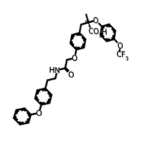 C[C@@](Cc1ccc(OCC(=O)NCCc2ccc(Oc3ccccc3)cc2)cc1)(Oc1ccc(OC(F)(F)F)cc1)C(=O)O